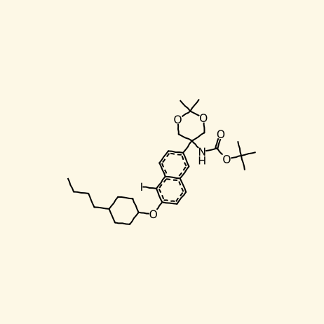 CCCCC1CCC(Oc2ccc3cc(C4(NC(=O)OC(C)(C)C)COC(C)(C)OC4)ccc3c2I)CC1